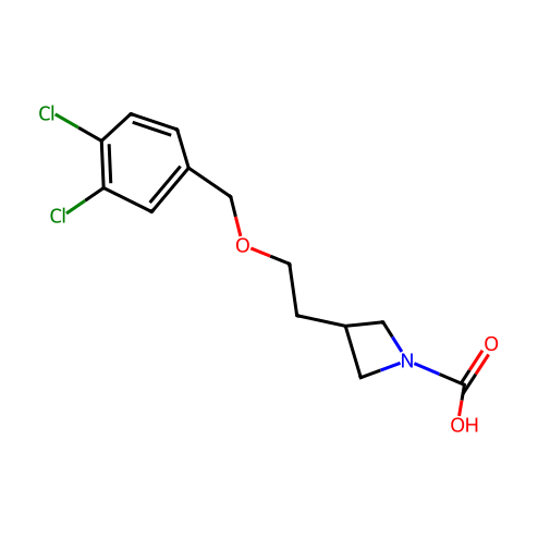 O=C(O)N1CC(CCOCc2ccc(Cl)c(Cl)c2)C1